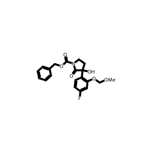 COCOc1cc(F)ccc1C1(O)CCN(C(=O)OCc2ccccc2)C1=O